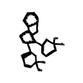 CCCCC1(C(C)(C)C)C=CC=C(c2ccc3c(c2C2=CC=CC(CCCC)(C(C)(C)C)C2)Cc2ccccc2-3)C1